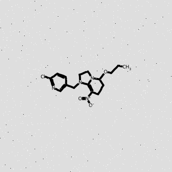 CCCOC1CCC([N+](=O)[O-])=C2N(Cc3ccc(Cl)nc3)CCN21